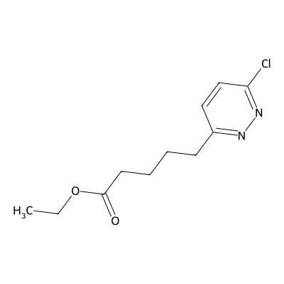 CCOC(=O)CCCCc1ccc(Cl)nn1